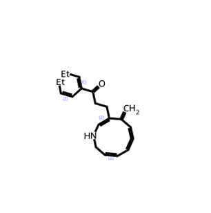 C=C1C=C=C/C=C\CN/C=C\1CCC(=O)C(/C=C\CC)=C/CC